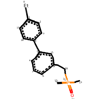 CCc1ccc(-c2cccc(CP(C)(C)=O)c2)cc1